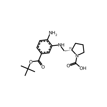 CC(C)(C)OC(=O)c1ccc(N)c(NC[C@@H]2CCCN2C(=O)O)c1